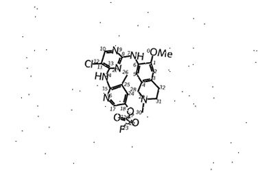 COc1cc2c(cc1Nc1ncc(Cl)c(Nc3ncc(OS(=O)(=O)F)cc3C)n1)CN(C)CC2